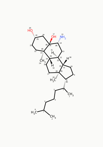 CC(C)CCCC(C)[C@H]1CC[C@H]2[C@@H]3C[C@@H](N)[C@@]4(O)C[C@@H](O)CC[C@]4(C)[C@H]3CC[C@]12C